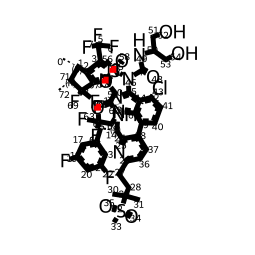 C[C@@H]1c2c(C(F)(F)F)nn(CC(=O)N[C@@H](Cc3cc(F)cc(F)c3)c3nc(CCC(C)(C)S(C)(=O)=O)ccc3-c3ccc(Cl)c4c(N(C(=O)NC(CO)CO)S(C)(=O)=O)nn(CC(F)(F)F)c34)c2C(F)(F)[C@@H]1C